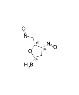 B[C@H]1C[C@@H](N=O)[C@@H](CN=O)O1